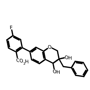 O=C(O)c1ccc(F)cc1-c1ccc2c(c1)OCC(O)(Cc1ccccc1)C2O